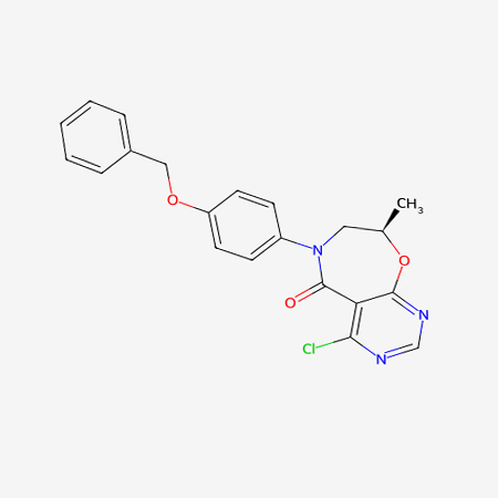 C[C@@H]1CN(c2ccc(OCc3ccccc3)cc2)C(=O)c2c(Cl)ncnc2O1